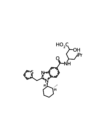 CC(C)CC(CC(O)C(=O)O)NC(=O)c1ccc2c(c1)nc(Cc1cccs1)n2[C@@H]1CCCC[C@H]1C